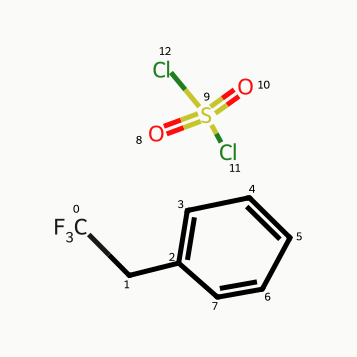 FC(F)(F)Cc1ccccc1.O=S(=O)(Cl)Cl